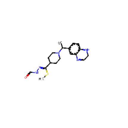 CS/C(=N\NC=O)C1CCN(C(C)c2ccc3c(c2)N=CCN3)CC1